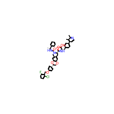 Cc1nccc(-c2ccc(C[C@H](NC(=O)[C@@H]3Cc4cc5c(cc4CN3C(=O)N[C@H](C)c3ccccc3)O[C@@H](c3ccc(OCc4c(F)cccc4Cl)cc3)CO5)C(=O)O)cc2)c1C